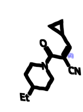 CCC1CCN(C(=O)/C(C#N)=C\C2CC2)CC1